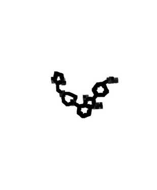 CC(C)(C)c1ccc(-c2nc3c(N4CCN(Cc5nccs5)CC4)cccc3[nH]2)cc1